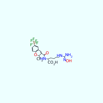 NC(=NO)NCCCCC(NC(=O)C1=Cc2cc(S(F)(F)(F)(F)F)ccc2O[C@@H]1C(F)(F)F)C(=O)O